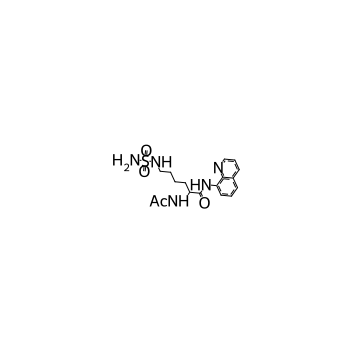 CC(=O)NC(CCCCNS(N)(=O)=O)C(=O)Nc1cccc2cccnc12